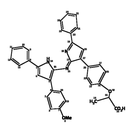 COc1ccc(-c2cc(-c3ccccc3)[nH]c2N=C2N=C(c3ccccc3)C=C2c2ccc(OC(C)C(=O)O)cc2)cc1